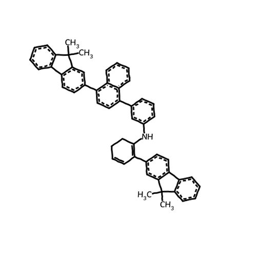 CC1(C)c2ccccc2-c2ccc(C3=C(Nc4cccc(-c5ccc(-c6ccc7c(c6)C(C)(C)c6ccccc6-7)c6ccccc56)c4)CCC=C3)cc21